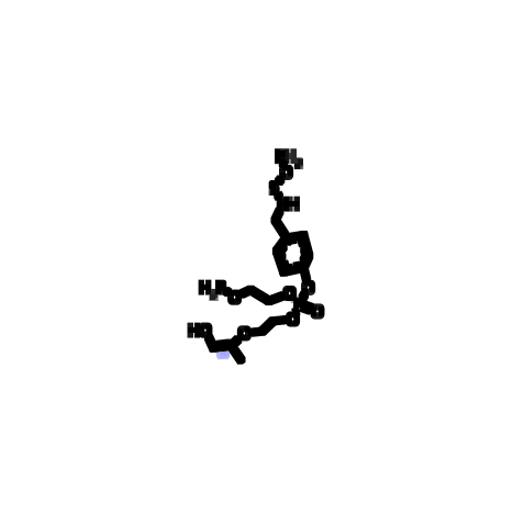 BOCCOP(=O)(OCCO/C(C)=C\O)Oc1ccc(CNSOB)cc1